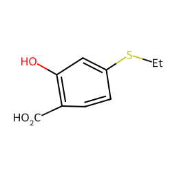 CCSc1ccc(C(=O)O)c(O)c1